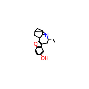 CC[C@@H]1Cc2c(oc3ccc(O)cc23)C2CC3CCC2N1C3